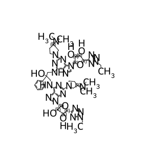 CCn1nnc([C@H]2O[C@@H](n3cnc4c(NCC(O)(CNc5nc(N6CC[C@@H](N(C)C)C6)nc6c5ncn6[C@@H]5O[C@H](c6nnn(CC)n6)[C@@H](O)[C@H]5O)c5ccccc5)nc(N5CC[C@@H](N(C)C)C5)nc43)[C@H](O)[C@@H]2O)n1